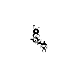 Cc1cnc(Cl)nc1-c1cn2c(n1)C(=O)N(Cc1ccc(F)c(F)c1)C(C)C2